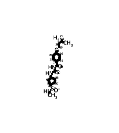 CN[S+]([O-])c1ccc(NC(=S)NC(=O)c2ccc(OCCC(C)C)cc2)cc1